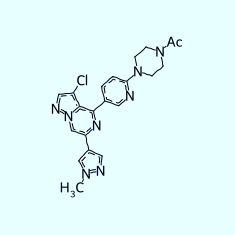 CC(=O)N1CCN(c2ccc(-c3nc(-c4cnn(C)c4)cn4ncc(Cl)c34)cn2)CC1